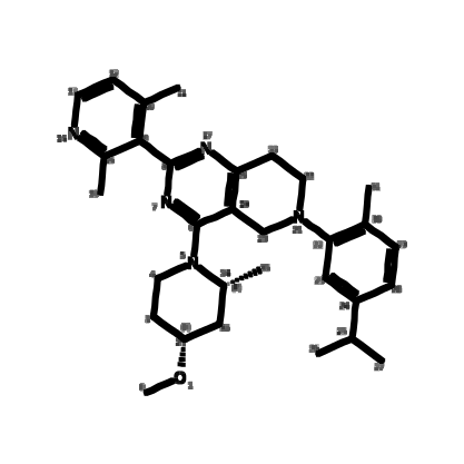 CO[C@@H]1CCN(c2nc(-c3c(C)ccnc3C)nc3c2CN(c2cc(C(C)C)ccc2C)CC3)[C@H](C)C1